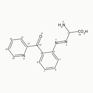 NC(N=Nc1ccccc1C(=O)c1ccccn1)C(=O)O